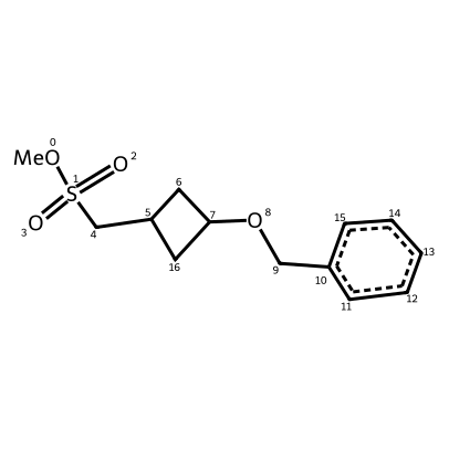 COS(=O)(=O)CC1CC(OCc2ccccc2)C1